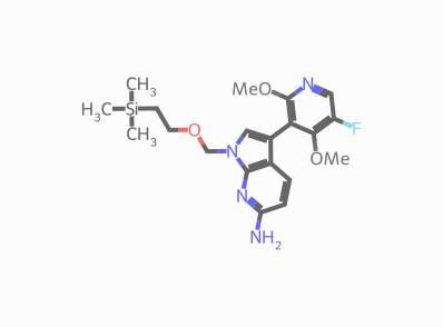 COc1ncc(F)c(OC)c1-c1cn(COCC[Si](C)(C)C)c2nc(N)ccc12